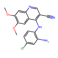 COc1cc2ncc(C#N)c(Nc3ccc(Cl)cc3N)c2cc1OC